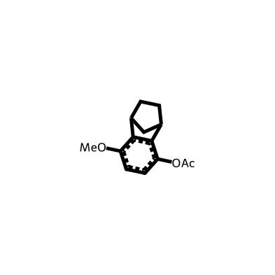 COc1ccc(OC(C)=O)c2c1C1CCC2C1